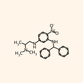 CC(CNc1ccc([N+](=O)[O-])c(NC(c2ccccc2)c2ccccc2)c1)N(C)C